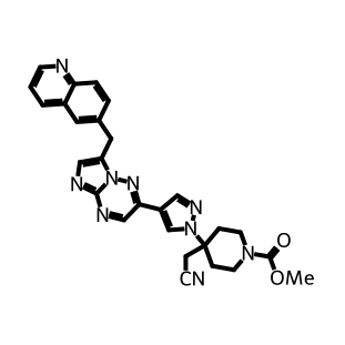 COC(=O)N1CCC(CC#N)(n2cc(-c3cnc4ncc(Cc5ccc6ncccc6c5)n4n3)cn2)CC1